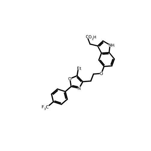 CCc1oc(-c2ccc(C(F)(F)F)cc2)nc1CCOc1ccc2[nH]cc(CC(=O)O)c2c1